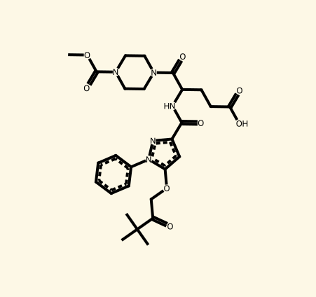 COC(=O)N1CCN(C(=O)C(CCC(=O)O)NC(=O)c2cc(OCC(=O)C(C)(C)C)n(-c3ccccc3)n2)CC1